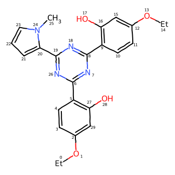 CCOc1ccc(-c2nc(-c3ccc(OCC)cc3O)nc(-c3cccn3C)n2)c(O)c1